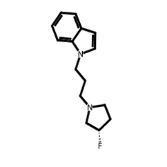 F[C@H]1CCN(CCCn2ccc3ccccc32)C1